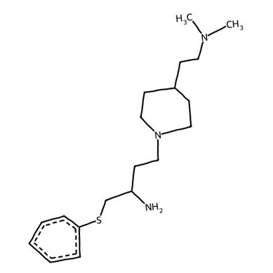 CN(C)CCC1CCN(CCC(N)CSc2ccccc2)CC1